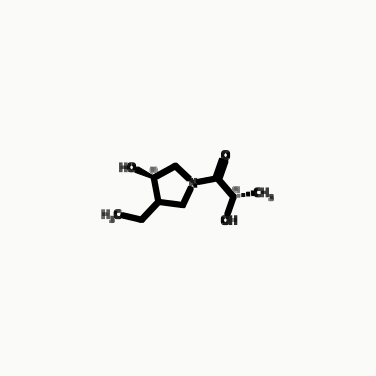 CCC1CN(C(=O)[C@H](C)O)C[C@@H]1O